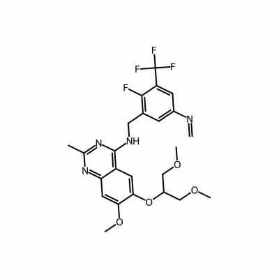 C=Nc1cc(CNc2nc(C)nc3cc(OC)c(OC(COC)COC)cc23)c(F)c(C(F)(F)F)c1